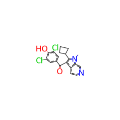 Cn1c(C2CCC2)c(C(=O)c2cc(Cl)c(O)c(Cl)c2)c2ccncc21